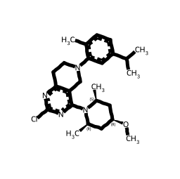 CO[C@H]1C[C@@H](C)N(c2nc(Cl)nc3c2CN(c2cc(C(C)C)ccc2C)CC3)[C@@H](C)C1